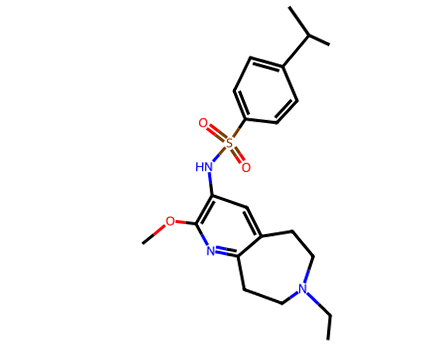 CCN1CCc2cc(NS(=O)(=O)c3ccc(C(C)C)cc3)c(OC)nc2CC1